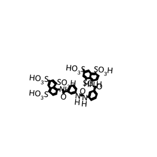 O=C(Nc1cccc(C(=O)Nc2ccc(S(=O)(=O)O)c3cc(S(=O)(=O)O)cc(S(=O)(=O)O)c23)c1)Nc1cccc(C(=O)Nc2ccc(S(=O)(=O)O)c3cc(S(=O)(=O)O)cc(S(=O)(=O)O)c23)c1